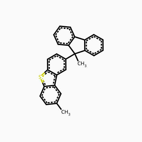 Cc1ccc2sc3ccc(C4(C)c5ccccc5-c5ccccc54)cc3c2c1